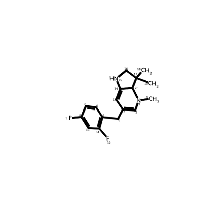 CN1C=C(Cc2ccc(F)cc2F)C=C2NCC(C)(C)C21